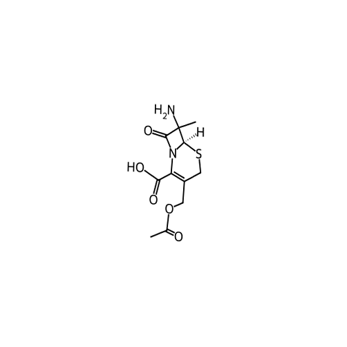 CC(=O)OCC1=C(C(=O)O)N2C(=O)C(C)(N)[C@H]2SC1